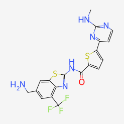 CNc1nccc(-c2ccc(C(=O)Nc3nc4c(C(F)(F)F)cc(CN)cc4s3)s2)n1